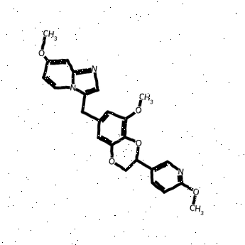 COc1ccn2c(Cc3cc(OC)c4c(c3)OCC(c3ccc(OC)nc3)O4)cnc2c1